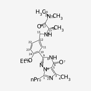 CCCc1nc(C)c2c(=O)[nH]c(-c3cc(CN[C@H](C)C(=O)N(C)C)ccc3OCC)nn12